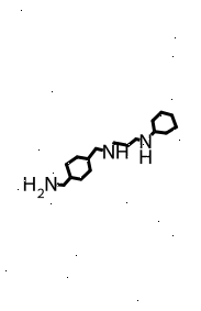 NCC1CCC(CNCCCNC2CCCCC2)CC1